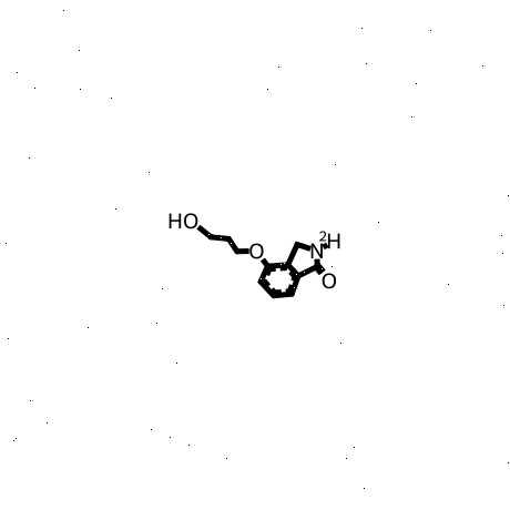 [2H]N1Cc2c(OCCCO)cccc2C1=O